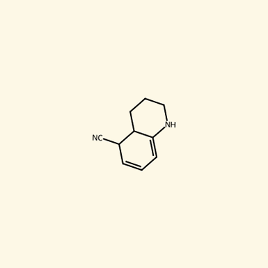 N#CC1C=CC=C2NCCCC21